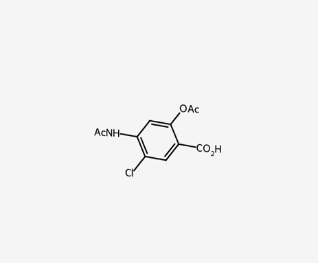 CC(=O)Nc1cc(OC(C)=O)c(C(=O)O)cc1Cl